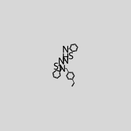 C=Cc1ccc(Cn2c(=NN=CSc3ccccc3NC)sc3ccccc32)cc1